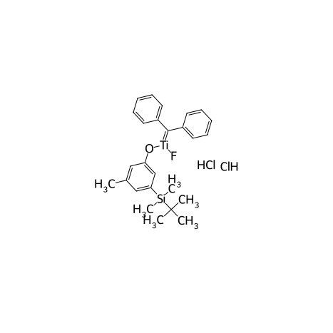 Cc1cc([O][Ti]([F])=[C](c2ccccc2)c2ccccc2)cc([Si](C)(C)C(C)(C)C)c1.Cl.Cl